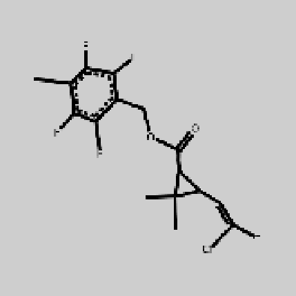 Cc1c(F)c(F)c(COC(=O)C2C(C=C(F)Cl)C2(C)C)c(F)c1F